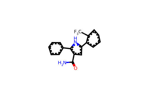 NC(=O)c1cc(-c2ccccc2C(F)(F)F)[nH]c1-c1ccccc1